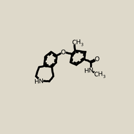 CNC(=O)c1ccc(Oc2ccc3c(c2)CCNCC3)c(C)c1